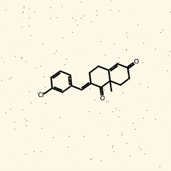 CC12CCC(=O)C=C1CCC(=Cc1cccc(Cl)c1)C2=O